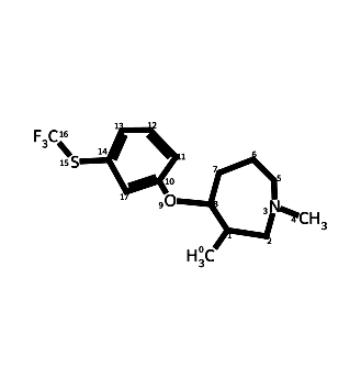 CC1CN(C)CCCC1Oc1cccc(SC(F)(F)F)c1